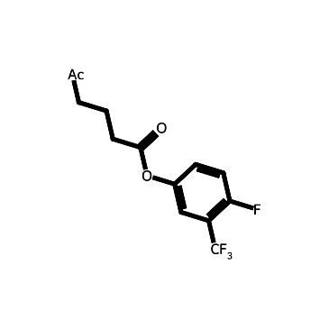 CC(=O)CCCC(=O)Oc1ccc(F)c(C(F)(F)F)c1